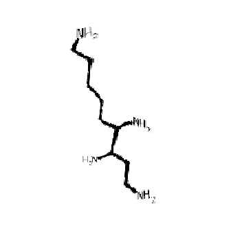 NCCCCCC(N)C(N)CCN